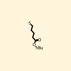 CCCCOC(=O)CCCC[S]